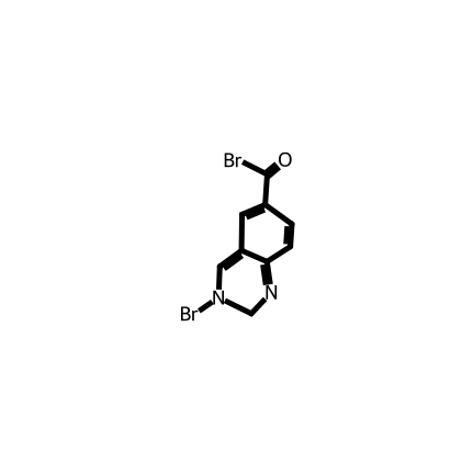 O=C(Br)c1ccc2c(c1)=CN(Br)CN=2